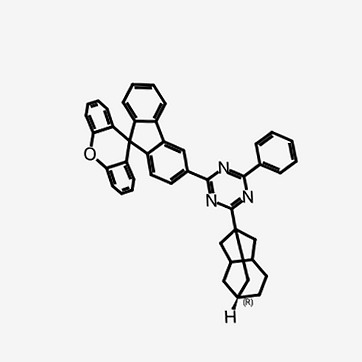 c1ccc(-c2nc(-c3ccc4c(c3)-c3ccccc3C43c4ccccc4Oc4ccccc43)nc(C34CC5CC[C@H](CC5C3)C4)n2)cc1